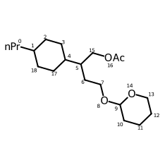 CCCC1CCC(C(CCOC2CCCCO2)COC(C)=O)CC1